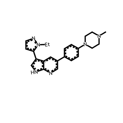 CCn1nccc1-c1c[nH]c2ncc(-c3ccc(N4CCN(C)CC4)cc3)cc12